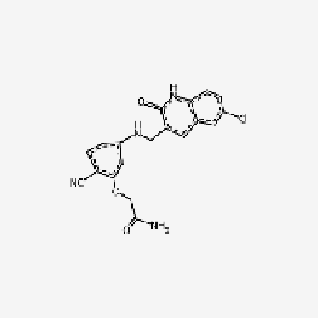 N#Cc1ccc(NCc2cc3cc(Cl)ccc3[nH]c2=O)cc1OCC(N)=O